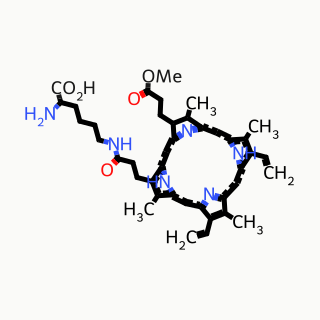 C=CC1=C(C)c2cc3[nH]c(cc4nc(cc5[nH]c(cc1n2)c(C)c5CCC(=O)NCCCCC(N)C(=O)O)C(CCC(=O)OC)C4C)c(C)c3C=C